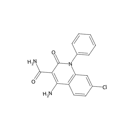 NC(=O)c1c(N)c2ccc(Cl)cc2n(-c2ccccc2)c1=O